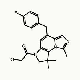 Cc1ncc2c(Cc3ccc(F)cc3)cc3c(n12)C(C)(C)CN3C(=O)CCl